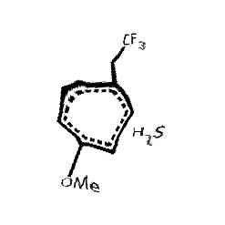 COc1ccc(C(F)(F)F)cc1.S